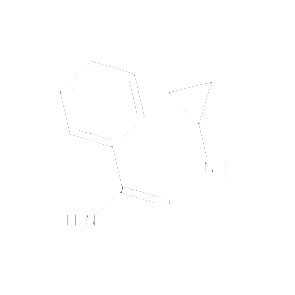 NC(=O)c1ccccc1.NC1CC1